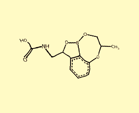 CC1COB2OC(CNC(=O)O)c3cccc(c32)O1